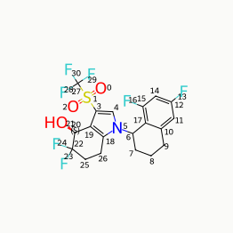 O=S(=O)(c1cn(C2CCCc3cc(F)cc(F)c32)c2c1[C@H](O)C(F)(F)CC2)C(F)(F)F